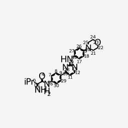 CC(C)[C@H](N)C(=O)Nc1ccc(-c2ccnc(Nc3ccc(N4CCOCC4)cc3)n2)cc1